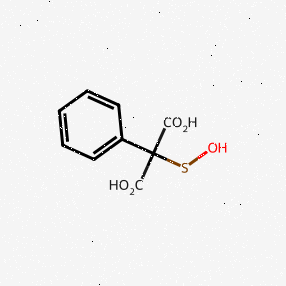 O=C(O)C(SO)(C(=O)O)c1ccccc1